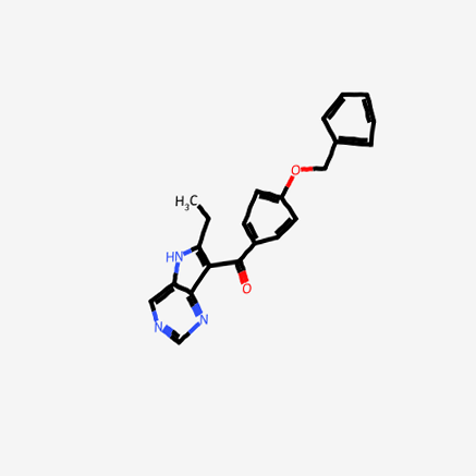 CCc1[nH]c2cncnc2c1C(=O)c1ccc(OCc2ccccc2)cc1